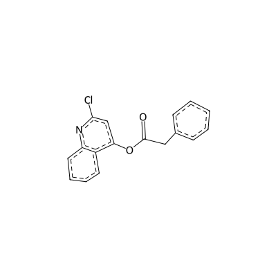 O=C(Cc1ccccc1)Oc1cc(Cl)nc2ccccc12